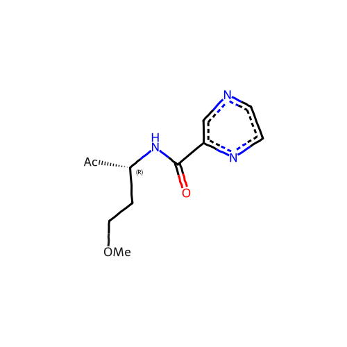 COCC[C@@H](NC(=O)c1cnccn1)C(C)=O